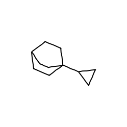 C1CC2(C3CC3)CCC1CC2